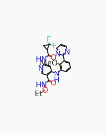 CCONC(=O)c1cnc(NC(=O)C2CC2(F)F)cc1Nc1cccc(-c2ncccn2)c1OC